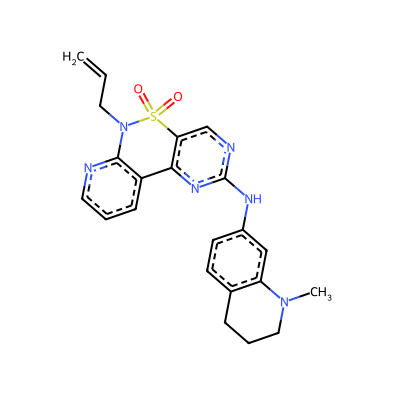 C=CCN1c2ncccc2-c2nc(Nc3ccc4c(c3)N(C)CCC4)ncc2S1(=O)=O